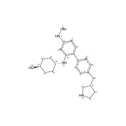 CCCCNc1ncc(-c2ccc(CC3CCNC3)cn2)c(N[C@H]2CC[C@H](O)CC2)n1